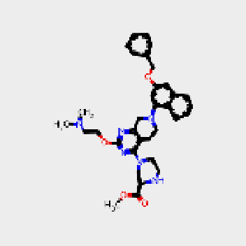 COC(=O)C1CN(c2nc(OCCN(C)C)nc3c2CCN(c2cc(OCc4ccccc4)cc4ccccc24)C3)CCN1